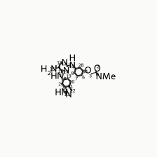 CNC(=O)COc1cccc(Nc2ncc(N)c(Nc3ccc4cn[nH]c4c3)n2)c1